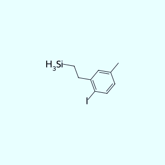 Cc1ccc(I)c(CC[SiH3])c1